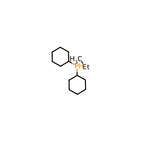 C1CCC(PC2CCCCC2)CC1.CCC